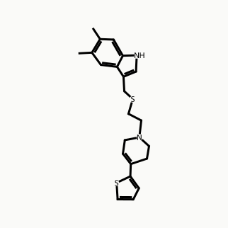 Cc1cc2[nH]cc(CSCCN3CC=C(c4cccs4)CC3)c2cc1C